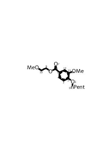 CCCCCOc1ccc(C(=O)OCCOC)cc1OC